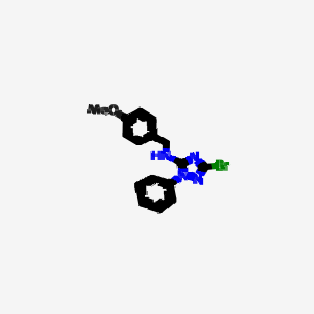 COc1ccc(CNc2nc(Br)nn2-c2ccccc2)cc1